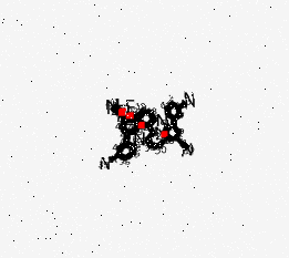 N#Cc1ccc2c(c1)c1cc(C#N)ccc1n2-c1ccc(C(F)(F)F)cc1-c1ncccc1-n1c2ccc(C#N)cc2c2cc(C#N)ccc21